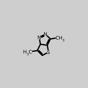 CC1=CSC2=C(C)N=NC12